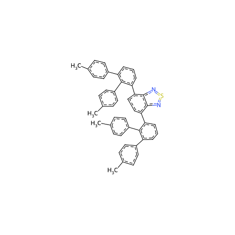 Cc1ccc(-c2cccc(-c3ccc(-c4cccc(-c5ccc(C)cc5)c4-c4ccc(C)cc4)c4nsnc34)c2-c2ccc(C)cc2)cc1